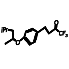 CC(C)CC(C)Oc1ccc(CCC(=O)C(F)(F)F)cc1